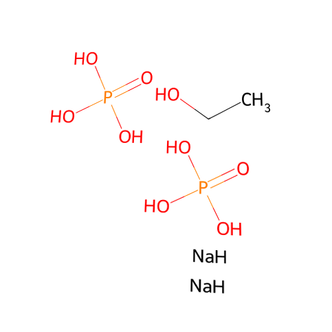 CCO.O=P(O)(O)O.O=P(O)(O)O.[NaH].[NaH]